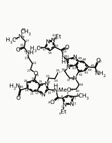 CCn1nc(C)cc1C(=O)Nc1nc2cc(C(N)=O)cc(OCCCNC(=O)CN(C)C)c2n1CCC[C@H]1CN(CCOC)c2cc(C(N)=O)cc3nc(NC(=O)c4cc(C)nn4CC)n1c23